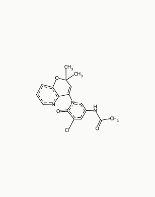 CC(=O)Nc1cc(Cl)c(=O)n(C2=CC(C)(C)Oc3cccnc32)c1